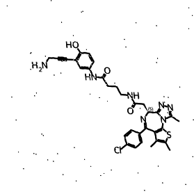 Cc1sc2c(c1C)C(c1ccc(Cl)cc1)=N[C@@H](CC(=O)NCCCC(=O)Nc1ccc(O)c(C#CCN)c1)c1nnc(C)n1-2